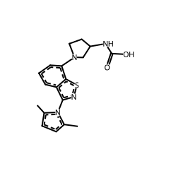 Cc1ccc(C)n1-c1nsc2c(N3CCC(NC(=O)O)C3)cccc12